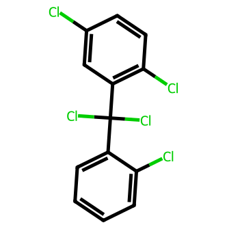 Clc1ccc(Cl)c(C(Cl)(Cl)c2ccccc2Cl)c1